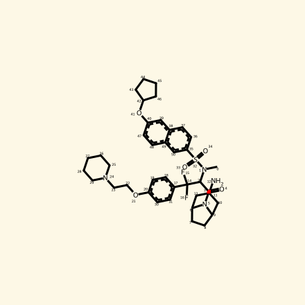 CN(C(C(=O)N1C2CCC1CC(N)C2)C(F)(F)c1ccc(OCCN2CCCCC2)cc1)S(=O)(=O)c1ccc2cc(OC3CCCC3)ccc2c1